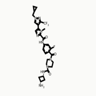 Cn1c(-c2cn(CC3CC3)nc2C(F)(F)F)cnc1C(=O)Nc1ccc(C(=O)N2CCN(C(=O)N[C@H]3C[C@@H](N)C3)CC2)c(F)c1